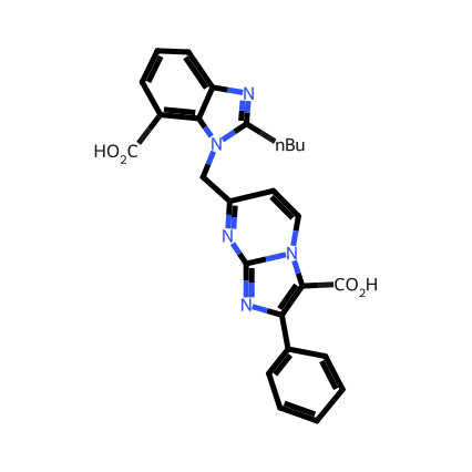 CCCCc1nc2cccc(C(=O)O)c2n1Cc1ccn2c(C(=O)O)c(-c3ccccc3)nc2n1